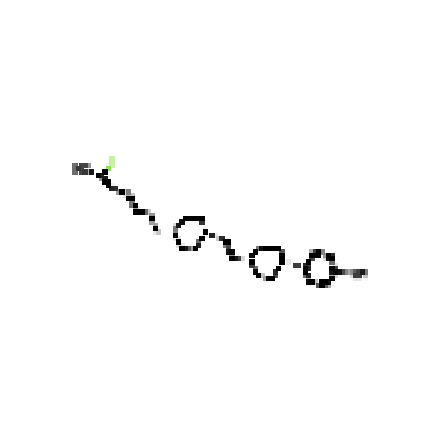 CCCc1ccc([C@H]2CC[C@H](/C=C/[C@H]3CC[C@H](CCC=CC=C(F)C#N)CC3)CC2)cc1